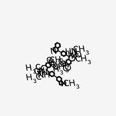 CNC(=O)N1N=C(c2ccc(-c3ccc4c(ccn4C)c3)cc2)c2cc(OC)c(OC)cc2CC1C.CNC(=O)N1N=C(c2ccc(-c3cncc4ccccc34)cc2)c2cc(OC)c(OC)cc2CC1C